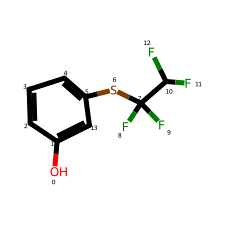 Oc1cccc(SC(F)(F)C(F)F)c1